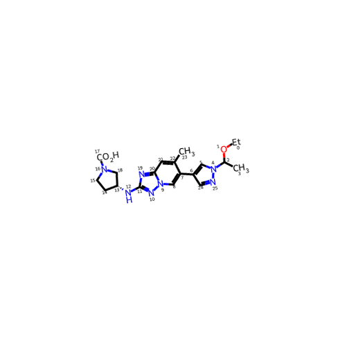 CCOC(C)n1cc(-c2cn3nc(N[C@@H]4CCN(C(=O)O)C4)nc3cc2C)cn1